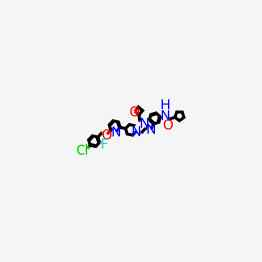 O=C(Nc1ccc2c(c1)nc(CN1CCC(c3cccc(OCc4ccc(Cl)cc4F)n3)CC1)n2CC1CCO1)C1CCCC1